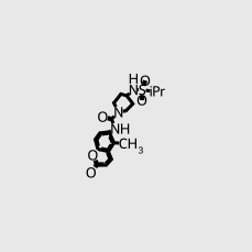 Cc1c(NC(=O)N2CCC(NS(=O)(=O)C(C)C)CC2)ccc2oc(=O)ccc12